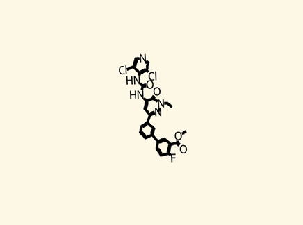 CCn1nc(-c2cccc(-c3ccc(F)c(C(=O)OC)c3)c2)cc(NC(=O)Nc2c(Cl)cncc2Cl)c1=O